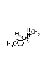 CCNC(=O)OC1CCCC(C)C1C